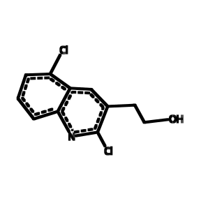 OCCc1cc2c(Cl)cccc2nc1Cl